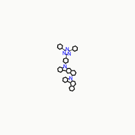 c1ccc(-c2nc(-c3ccccc3)nc(-c3ccc(-n4c5ccccc5c5cc6c(-n7c8ccccc8c8c9ccccc9ccc87)cccc6cc54)cc3)n2)cc1